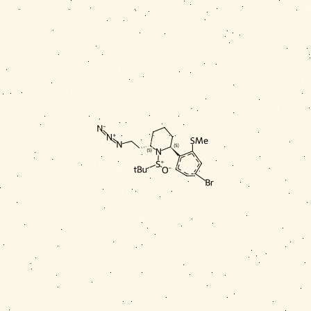 CSc1cc(Br)ccc1[C@@H]1CCC[C@@H](CCN=[N+]=[N-])N1[S+]([O-])C(C)(C)C